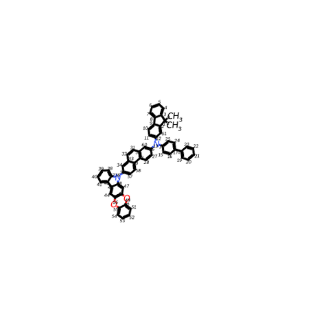 CC1(C)c2ccccc2-c2ccc(N(c3ccc(-c4ccccc4)cc3)c3ccc4c(ccc5cc(-n6c7ccccc7c7cc8c(cc76)Oc6ccccc6O8)ccc54)c3)cc21